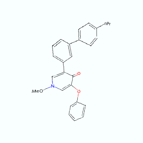 CCCc1ccc(-c2cccc(-c3cn(OC)cc(Oc4ccccc4)c3=O)c2)cc1